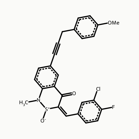 COc1ccc(CC#Cc2ccc3c(c2)C(=O)/C(=C\c2ccc(F)c(Cl)c2)[S+]([O-])N3C)cc1